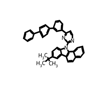 CC(C)(C)c1ccc2c(c1)c1ccc3ccccc3c1n2-c1nccc(-c2cccc(-c3ccc(-c4ccccc4)cc3)c2)n1